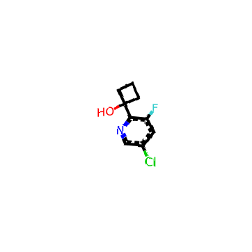 OC1(c2ncc(Cl)cc2F)CCC1